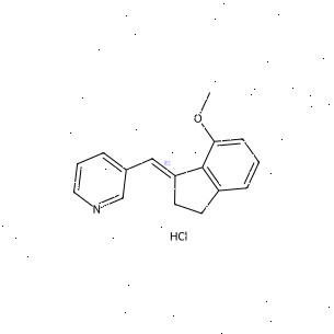 COc1cccc2c1/C(=C/c1cccnc1)CC2.Cl